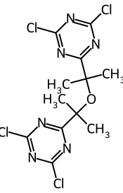 CC(C)(OC(C)(C)c1nc(Cl)nc(Cl)n1)c1nc(Cl)nc(Cl)n1